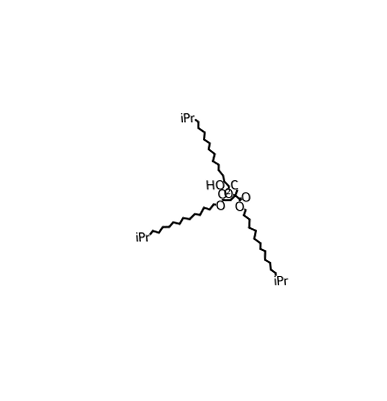 CC(C)CCCCCCCCCCCCCOC(=O)CC(CC(=O)O)(OCCCCCCCCCCCCCC(C)C)C(=O)OCCCCCCCCCCCCCC(C)C